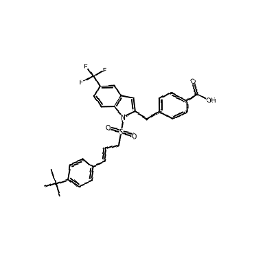 CC(C)(C)c1ccc(C=CCS(=O)(=O)n2c(Cc3ccc(C(=O)O)cc3)cc3cc(C(F)(F)F)ccc32)cc1